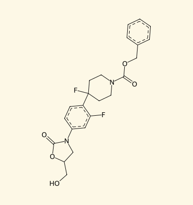 O=C(OCc1ccccc1)N1CCC(F)(c2ccc(N3CC(CO)OC3=O)cc2F)CC1